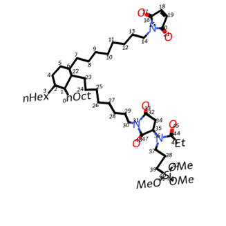 CCCCCCCCC1C(CCCCCC)CCC(CCCCCCCCN2C(=O)C=CC2=O)C1CCCCCCCCN1C(=O)CC(N(CCC[Si](OC)(OC)OC)C(=O)CC)C1=O